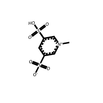 C[n+]1cc(S(=O)(=O)[O-])cc(S(=O)(=O)O)c1